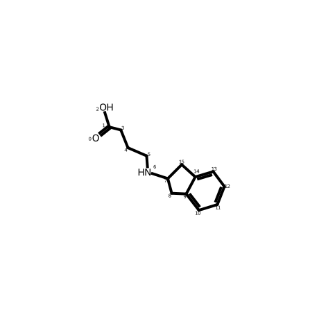 O=C(O)CCCNC1Cc2ccccc2C1